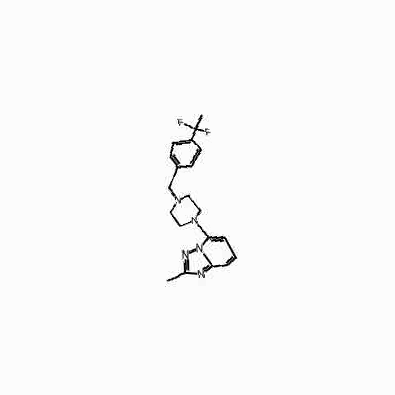 Cc1nc2cccc(N3CCN(Cc4ccc(C(C)(F)F)cc4)CC3)n2n1